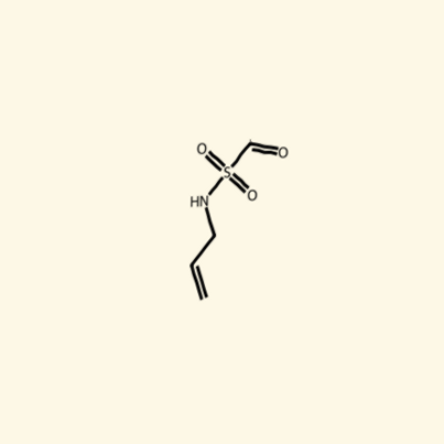 C=CCNS(=O)(=O)[C]=O